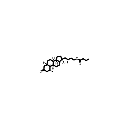 CCCC(=O)OCCCC[C@]1(O)CC[C@H]2[C@@H]3CC[C@H]4CC(=O)C[C@H](C)[C@]4(C)[C@H]3CC[C@@]21C